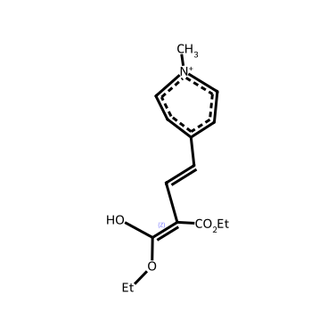 CCOC(=O)/C(C=Cc1cc[n+](C)cc1)=C(/O)OCC